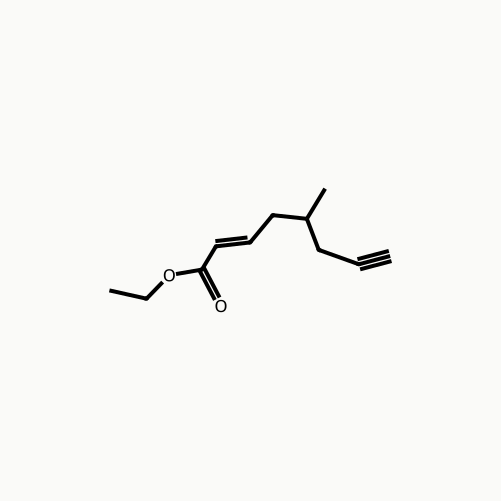 C#CCC(C)C/C=C/C(=O)OCC